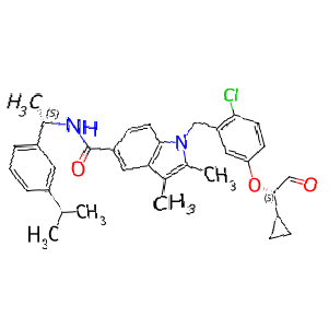 Cc1c(C)n(Cc2cc(O[C@H](C=O)C3CC3)ccc2Cl)c2ccc(C(=O)N[C@@H](C)c3cccc(C(C)C)c3)cc12